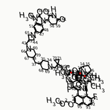 COCOc1cc(-c2ncc3c(N4CC5CCC(C4)N5C(=O)OC(C)(C)C)nc(OCC4(CN5CCC(CC6CCN(CC7CN(c8ccc9c(c8)n(C)c(=O)n9C8CCC(=O)NC8=O)C7)CC6)CC5)CC4)nc3c2F)c2c(C#C[Si](C(C)C)(C(C)C)C(C)C)c(F)ccc2c1